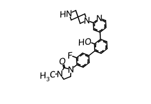 CN1CCN(c2ccc(-c3cccc(-c4ccnc(N5CC6(CNC6)C5)c4)c3O)cc2F)C1=O